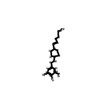 FCCCC=CC1CCC(CCc2cc(F)c(F)c(F)c2)CC1